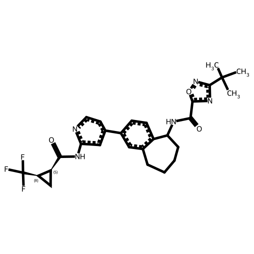 CC(C)(C)c1noc(C(=O)NC2CCCCc3cc(-c4ccnc(NC(=O)[C@H]5C[C@H]5C(F)(F)F)c4)ccc32)n1